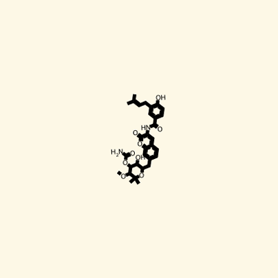 COC1C(OC(N)=O)C(O)C(Cc2ccc3cc(NC(=O)c4ccc(O)c(CC=C(C)C)c4)c(=O)oc3c2)OC1(C)C